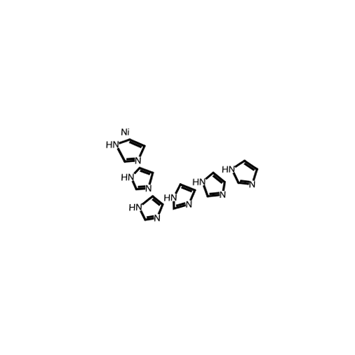 [Ni].c1c[nH]cn1.c1c[nH]cn1.c1c[nH]cn1.c1c[nH]cn1.c1c[nH]cn1.c1c[nH]cn1